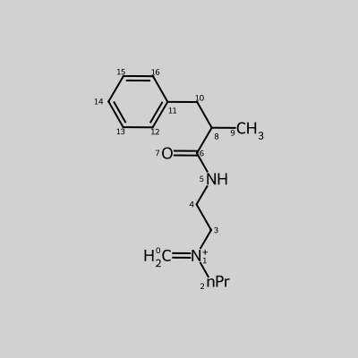 C=[N+](CCC)CCNC(=O)C(C)Cc1ccccc1